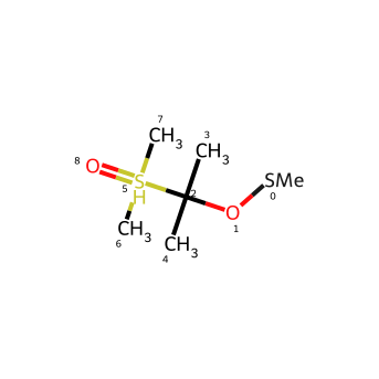 CSOC(C)(C)[SH](C)(C)=O